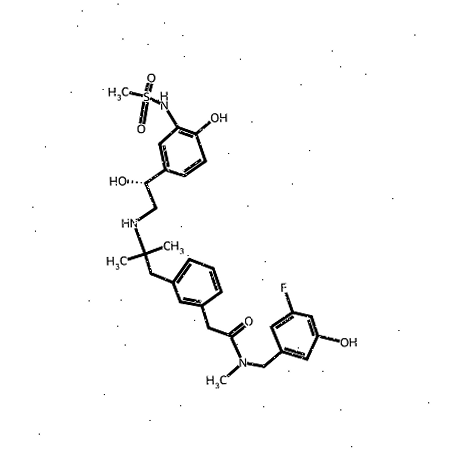 CN(Cc1cc(O)cc(F)c1)C(=O)Cc1cccc(CC(C)(C)NC[C@H](O)c2ccc(O)c(NS(C)(=O)=O)c2)c1